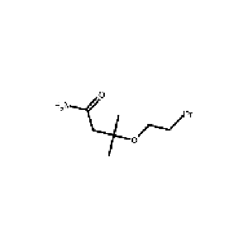 CC(C)CCOC(C)(C)CC(N)=O